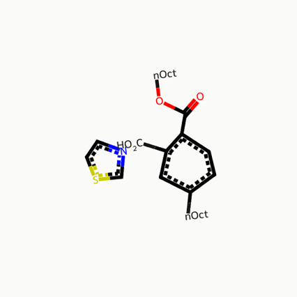 CCCCCCCCOC(=O)c1ccc(CCCCCCCC)cc1C(=O)O.c1cscn1